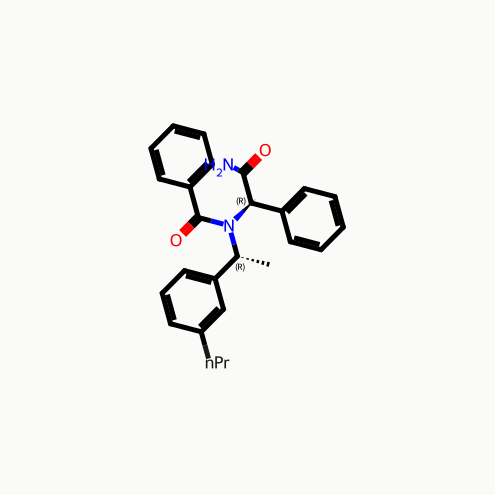 CCCc1cccc([C@@H](C)N(C(=O)c2ccccc2)[C@@H](C(N)=O)c2ccccc2)c1